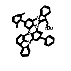 Cc1cccc(C)c1-c1cc2c3c(c1)n1c4ccccc4c(CC(C)(C)C)c1n3-c1cc(-c3ccccc3)cc3c1B2c1cccc2c4ccccc4n-3c12